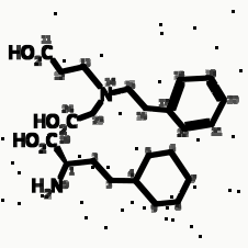 N[C@H](CCC1CCCCC1)C(=O)O.O=C(O)CCN(CCc1ccccc1)CC(=O)O